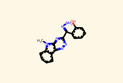 Cn1c2ccccc2c2nnc(C(=NN)c3ccccc3O)nc21